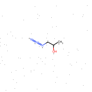 CC(O)[CH]N=[N+]=[N-]